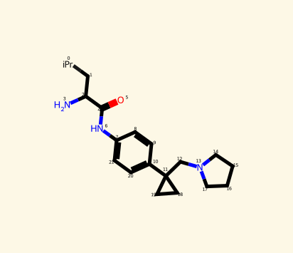 CC(C)CC(N)C(=O)Nc1ccc(C2(CN3CCCC3)CC2)cc1